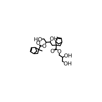 CC1(C(=O)OC(CO)C(O)CC2(C(=O)OCC(O)CO)CC3C=CC2C3)CC2C=CC1C2